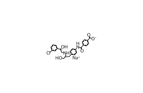 O=C([O-])c1ccc(C(=O)Nc2ccc(C[C@@H](CO)NC[C@H](O)c3cccc(Cl)c3)cc2)cc1.[Na+]